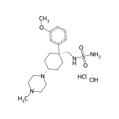 COc1cccc([C@]2(CNS(N)(=O)=O)CC[C@@H](N3CCN(C)CC3)CC2)c1.Cl.Cl